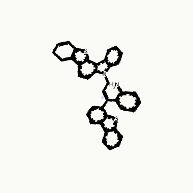 Nc1ccccc1/C(=C\Cn1c2ccccc2c2c3sc4c(c3ccc21)CCC=C4)c1cccc2c1sc1ccccc12